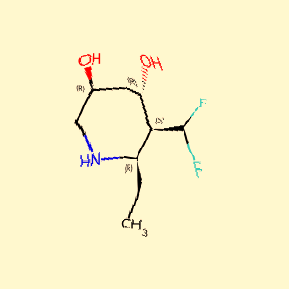 CC[C@H]1NC[C@@H](O)[C@H](O)[C@H]1C(F)F